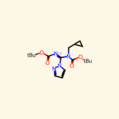 CC(C)(C)OC(=O)/N=C(/N(CC1CC1)C(=O)OC(C)(C)C)n1cccn1